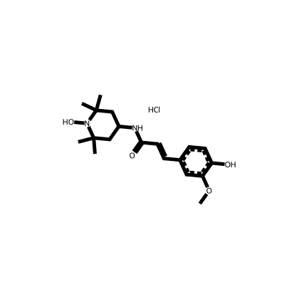 COc1cc(/C=C/C(=O)NC2CC(C)(C)N(O)C(C)(C)C2)ccc1O.Cl